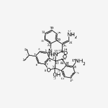 CC(C)c1ccc2c(c1)OC1(O)c3cccc(N)c3C(=O)C21NC(=O)/C(=C/N)c1ccccc1N